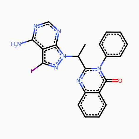 CC(c1nc2ccccc2c(=O)n1-c1ccccc1)n1nc(I)c2c(N)ncnc21